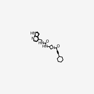 O=C(NCc1ccnc2[nH]ccc12)NC1CN(C(=O)C#CC2CCCCC2)C1